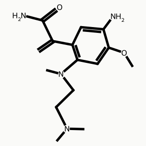 C=C(C(N)=O)c1cc(N)c(OC)cc1N(C)CCN(C)C